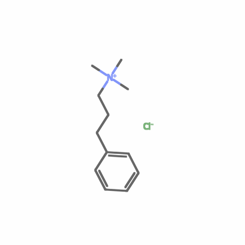 C[N+](C)(C)CCCc1ccccc1.[Cl-]